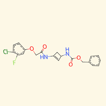 O=C(COc1ccc(Cl)c(F)c1)NC1=CC(NC(=O)OCc2ccccc2)C1